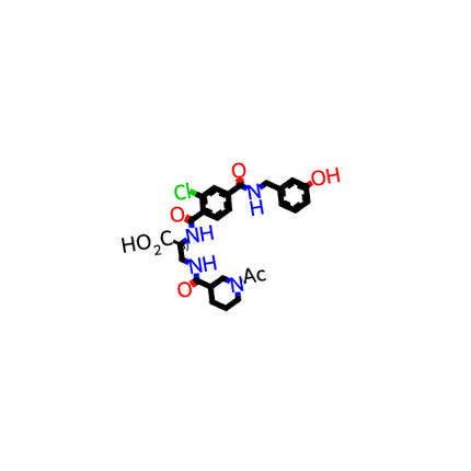 CC(=O)N1CCCC(C(=O)NC[C@H](NC(=O)c2ccc(C(=O)NCc3cccc(O)c3)cc2Cl)C(=O)O)C1